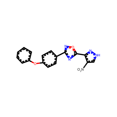 O=[N+]([O-])c1c[nH]nc1-c1nc(-c2ccc(Oc3ccccc3)cc2)no1